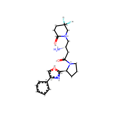 N[C@@H](CC(=O)N1CCC[C@H]1c1nc(-c2ccccc2)co1)CN1CC(F)(F)CCC1=O